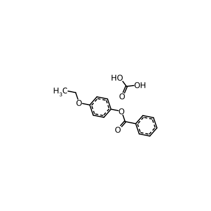 CCOc1ccc(OC(=O)c2ccccc2)cc1.O=C(O)O